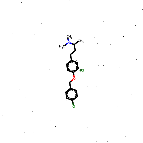 CC(CCc1ccc(OCc2ccc(Cl)cc2)cc1)N(C)C.Cl